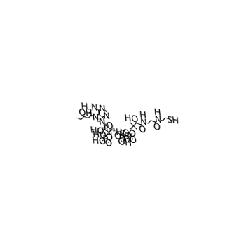 CCC(O)CCN1CN([C@@H]2O[C@H](COP(=O)(O)OP(=O)(O)OCC(C)(C)C(O)C(=O)NCCC(=O)NCCS)[C@@H](OP(=O)(O)O)[C@H]2O)c2ncnc(N)c21